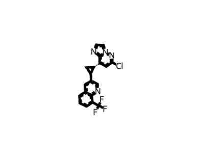 FC(F)(F)c1cccc2cc(C3C[C@@H]3c3cc(Cl)nn4ccnc34)cnc12